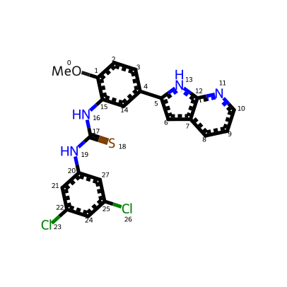 COc1ccc(-c2cc3cccnc3[nH]2)cc1NC(=S)Nc1cc(Cl)cc(Cl)c1